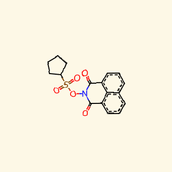 O=C1c2cccc3cccc(c23)C(=O)N1OS(=O)(=O)C1CCCC1